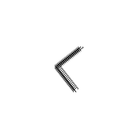 [K+].[K+].[K+].[K+].[K+].[K+].[K+].[K+].[K+].[K+].[K+].[K+].[K+].[K+].[K+].[K+].[K+].[K+].[K+].[K+].[K+].[K+].[K+].[K+].[K+].[K+].[K+].[K+].[K+].[K+].[K+].[K+].[K+].[K+].[K+].[K+].[K+]